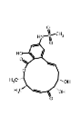 C[C@@H]1/C=C\C(=O)[C@@H](O)[C@@H](O)C/C=C/c2cc(NS(C)(=O)=O)cc(O)c2C(=O)O[C@H]1C